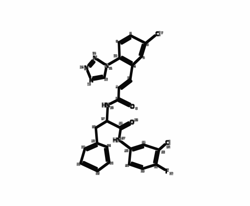 O=C(C=Cc1cc(Cl)ccc1-n1cnnn1)NC(Cc1ccccc1)C(=O)Nc1ccc(F)c(Cl)c1